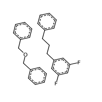 Fc1cc(F)cc(CCCc2ccccc2)c1.c1ccc(COCc2ccccc2)cc1